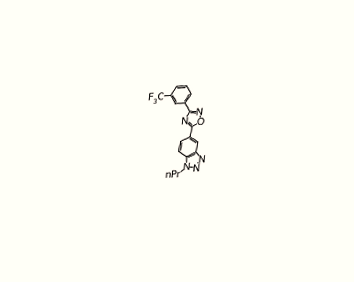 CCCn1nnc2cc(-c3nc(-c4cccc(C(F)(F)F)c4)no3)ccc21